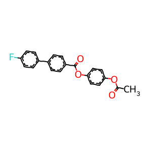 CC(=O)Oc1ccc(OC(=O)c2ccc(-c3ccc(F)cc3)cc2)cc1